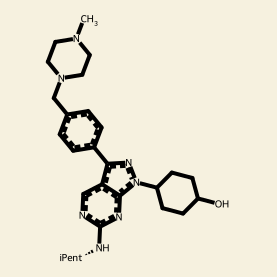 CCC[C@@H](C)Nc1ncc2c(-c3ccc(CN4CCN(C)CC4)cc3)nn(C3CCC(O)CC3)c2n1